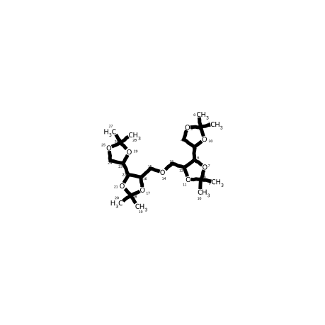 CC1(C)OCC(C2OC(C)(C)OC2COCC2OC(C)(C)OC2C2COC(C)(C)O2)O1